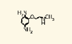 CNCCOc1cc(N)ccc1N